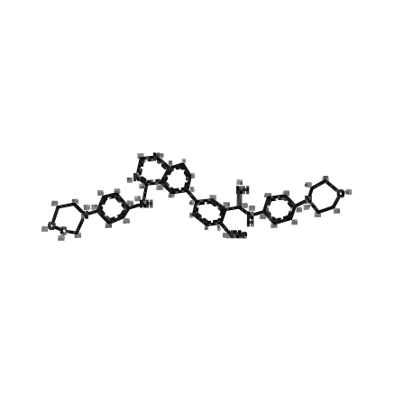 CNc1ccc(-c2ccc3ncnc(Nc4ccc(N5CCOCC5)cc4)c3c2)cc1C(=N)Nc1ccc(N2CCOCC2)cc1